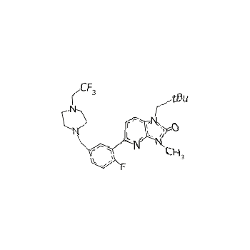 Cn1c(=O)n(CC(C)(C)C)c2ccc(-c3cc(CN4CCN(CC(F)(F)F)CC4)ccc3F)nc21